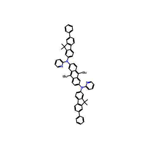 CC(C)(C)c1c2ccc(N(c3ccc4c(c3)C(C)(C)c3cc(-c5ccccc5)ccc3-4)c3ccccn3)cc2c(C(C)(C)C)c2ccc(N(c3ccc4c(c3)C(C)(C)c3cc(-c5ccccc5)ccc3-4)c3ccccn3)cc12